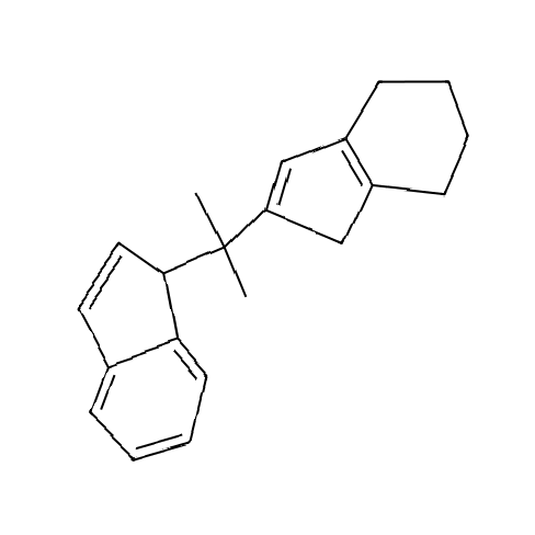 CC(C)(C1=CC2=C(CCCC2)C1)C1C=Cc2ccccc21